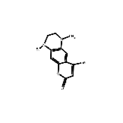 CCCc1cc(=O)oc2cc3c(cc12)N(C)CCN3CC